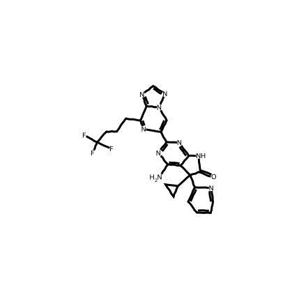 Nc1nc(-c2cn3ncnc3c(CCCC(F)(F)F)n2)nc2c1C(c1ccccn1)(C1CC1)C(=O)N2